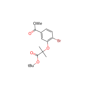 COC(=O)c1ccc(Br)c(OC(C)(C)C(=O)OC(C)(C)C)c1